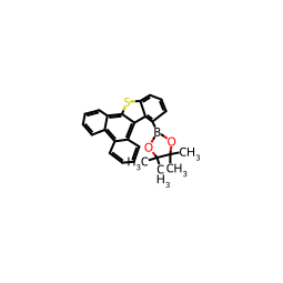 CC1(C)OB(c2cccc3sc4c5ccccc5c5ccccc5c4c23)OC1(C)C